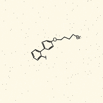 BrCCCCOc1ccc(-c2ccccc2I)cc1